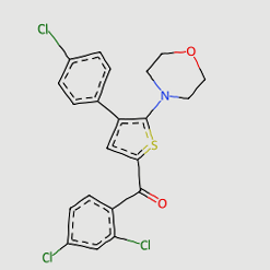 O=C(c1cc(-c2ccc(Cl)cc2)c(N2CCOCC2)s1)c1ccc(Cl)cc1Cl